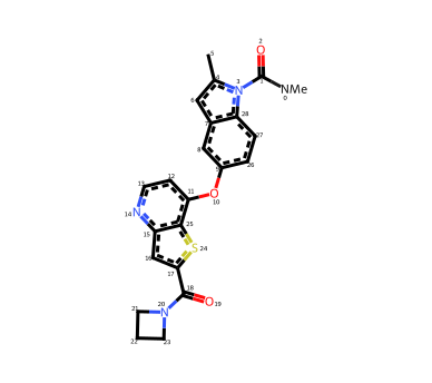 CNC(=O)n1c(C)cc2cc(Oc3ccnc4cc(C(=O)N5CCC5)sc34)ccc21